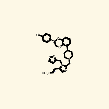 O=C(O)/C=C/c1cnc(CN2CCC(c3cccc4c3OC[C@@H](c3ccc(Cl)cc3)O4)CC2)n1Cc1ccno1